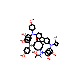 C=C1\C=C(N(c2ccc(OC)cc2)c2ccc(OC)cc2)/C=C\C(N(c2ccc(OC)cc2)[C@@H](C)C(C)OC)=C/C(=C)C12c1cc(N(C3=CC=C3OC)c3ccc(OC)cc3)ccc1-c1ccc(N(c3ccc(OC)cc3)c3ccc(OC)cc3)cc12